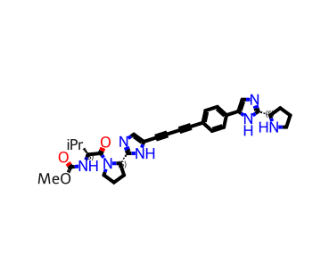 COC(=O)N[C@H](C(=O)N1CCC[C@H]1c1ncc(C#CC#Cc2ccc(-c3cnc([C@@H]4CCCN4)[nH]3)cc2)[nH]1)C(C)C